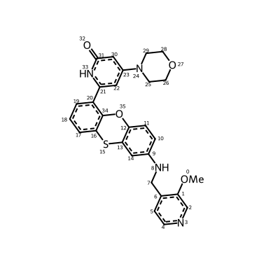 COc1cnccc1CNc1ccc2c(c1)Sc1cccc(-c3cc(N4CCOCC4)cc(=O)[nH]3)c1O2